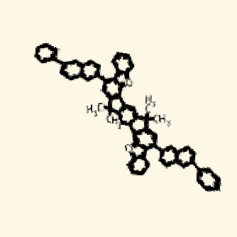 CC1(C)c2cc3c(cc2-c2c1cc(-c1ccc4cc(-c5ccccc5)ccc4c1)c1c2oc2ccccc21)C(C)(C)c1cc(-c2ccc4cc(-c5ccccc5)ccc4c2)c2c(oc4ccccc42)c1-3